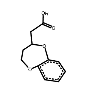 O=C(O)CC1CCOc2ccccc2O1